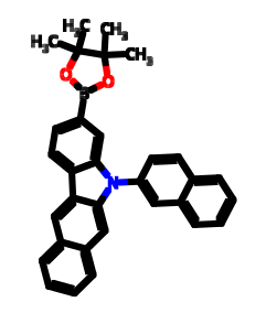 CC1(C)OB(c2ccc3c4cc5ccccc5cc4n(-c4ccc5ccccc5c4)c3c2)OC1(C)C